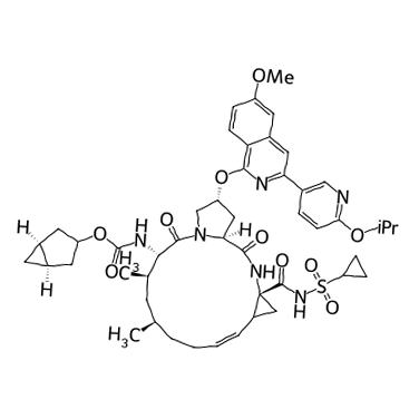 COc1ccc2c(O[C@@H]3C[C@H]4C(=O)N[C@]5(C(=O)NS(=O)(=O)C6CC6)CC5/C=C\CC[C@@H](C)C[C@@H](C)[C@H](NC(=O)OC5C[C@@H]6C[C@@H]6C5)C(=O)N4C3)nc(-c3ccc(OC(C)C)nc3)cc2c1